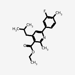 CCOC(=O)c1c(CC(C)C)cc(-c2ccc(C)c(F)c2)nc1C